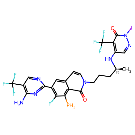 C[C@@H](CCCn1ccc2cc(-c3ncc(C(F)(F)F)c(N)n3)c(F)c(P)c2c1=O)Nc1cnn(I)c(=O)c1C(F)(F)F